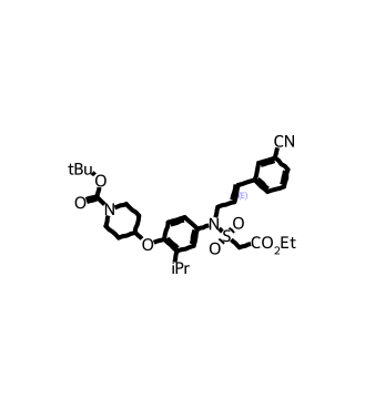 CCOC(=O)CS(=O)(=O)N(C/C=C/c1cccc(C#N)c1)c1ccc(OC2CCN(C(=O)OC(C)(C)C)CC2)c(C(C)C)c1